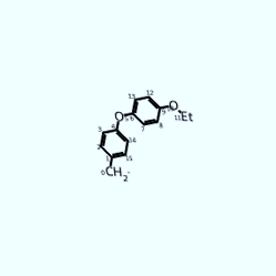 [CH2]c1ccc(Oc2ccc(OCC)cc2)cc1